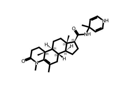 CC1=C2N(C)C(=O)CC[C@]2(C)[C@H]2CC[C@]3(C)[C@@H](C(=O)NC4(C)C=CNC=C4)CC[C@H]3[C@@H]2C1